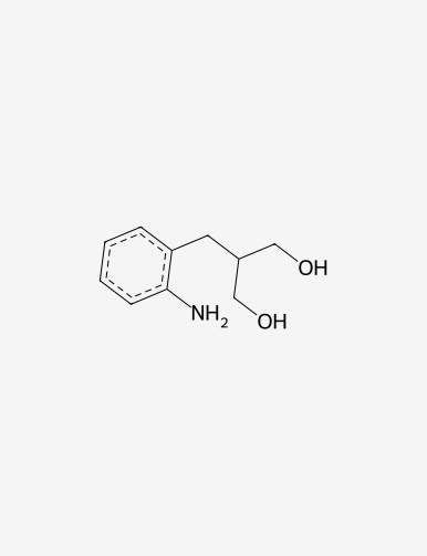 Nc1ccccc1CC(CO)CO